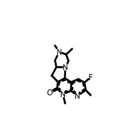 Cc1nc2c(cc1F)c1c(c(=O)n2C)CC2CN(C)C(C)CN12